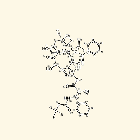 CC(=O)O[C@@]12CO[C@@H]1C[C@H](O)[C@@]1(C)C(=O)[C@H](O)C3=CC(OC(=O)[C@H](O)[C@@H](NC(=O)OC(C)(C)C)c4ccccc4)C[C@@](O)([C@@H](OC(=O)c4ccccc4)[C@H]21)C3(C)C